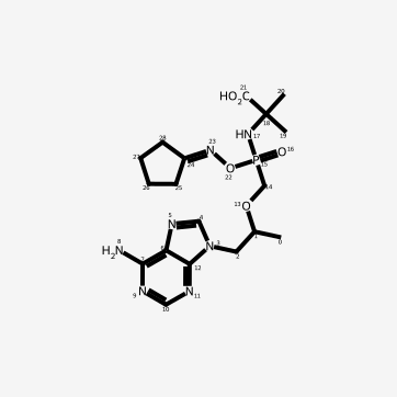 CC(Cn1cnc2c(N)ncnc21)OCP(=O)(NC(C)(C)C(=O)O)ON=C1CCCC1